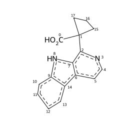 O=C(O)C1(c2nccc3c2[nH]c2ccccc23)CCC1